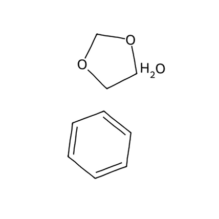 C1COCO1.O.c1ccccc1